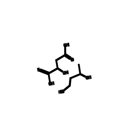 CC(O)CCO.O=C(O)CC(O)C(O)=S